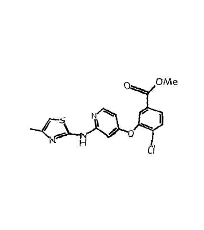 COC(=O)c1ccc(Cl)c(Oc2ccnc(Nc3nc(C)cs3)c2)c1